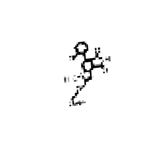 COCCOCc1cc2c3c(c(-c4ccccc4Cl)cc2n1C)C(=O)NC3=O